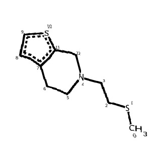 CSCCN1CCc2ccsc2C1